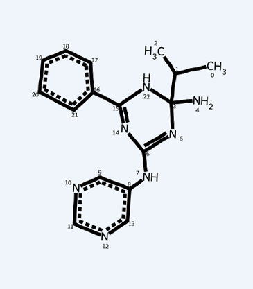 CC(C)C1(N)N=C(Nc2cncnc2)N=C(c2ccccc2)N1